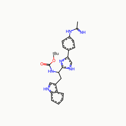 CC(=N)Nc1ccc(-c2c[nH]c(C(Cc3c[nH]c4ccccc34)NC(=O)OC(C)(C)C)n2)cc1